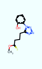 COC(=S)CCCc1nnnn1-c1ccccc1O